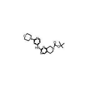 CC(C)(C)OC(=O)N1CCc2cnc(Nc3ccnc(N4CCOCC4)c3)nc2C1